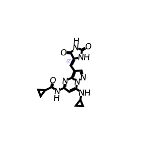 O=C1NC(=O)/C(=C/c2cnn3c(NC4CC4)cc(NC(=O)C4CC4)nc23)N1